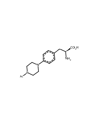 CC(=O)N1CCN(c2ccc(C[C@H](N)C(=O)O)cc2)CC1